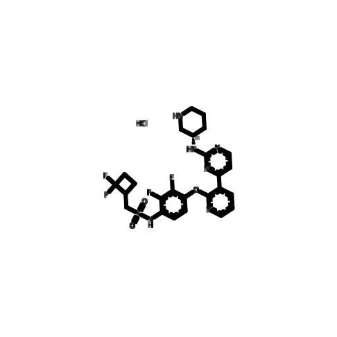 Cl.O=S(=O)(CC1CCC1(F)F)Nc1ccc(Oc2ncccc2-c2ccnc(N[C@H]3CCCNC3)n2)c(F)c1F